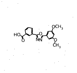 COc1cc(OC)cc(-c2nnc(-c3cccc(C(=O)O)c3)o2)c1